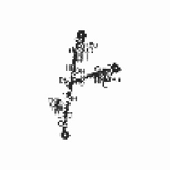 CCOC(COCC(=O)NCCCCC(NC(=O)NC(=O)OC(C)(C)C)C(=O)NCC(=O)OCc1ccccc1)C(COCC(=O)NCCCCC(NC(O)NC(=O)OC(C)(C)C)C(=O)NCC(=O)OCc1ccccc1)OCC(=O)NCCCCC(NC(=O)NC(=O)OC(C)(C)C)C(=O)NCC(=O)OCc1ccccc1